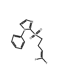 O=S(=O)(CCC=C(F)F)c1nccn1-c1ccccc1